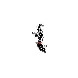 COc1c(N2CCN(C(=O)OC(C)(C)C)C(C)C2)c(F)c(C)c2c(=O)c(C(=O)OC(C)(C)C(=O)[C@@]3(O)CC[C@H]4[C@@H]5CCC6=CC(=O)C=C[C@]6(C)C5[C@@H](O)C[C@@]43C)c(C)n(C3CC3)c12